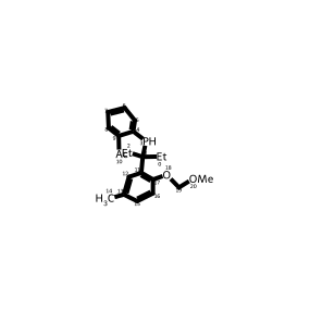 CCC(CC)(Pc1ccccc1C(C)=O)c1cc(C)ccc1OCOC